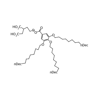 CCCCCCCCCCCCCCCCCCOc1cc(C(=O)OOCCC(CC(=O)O)C(=O)O)cc(OCCCCCCCCCCCCCCCCCC)c1OCCCCCCCCCCCCCCCCCC